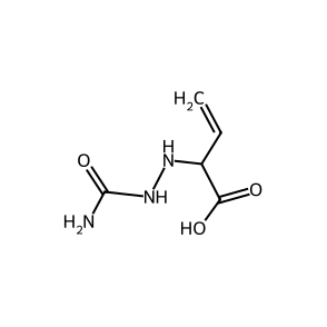 C=CC(NNC(N)=O)C(=O)O